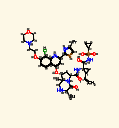 C=C[C@@H]1C[C@]1(NC(=O)[C@@H]1C[C@@H](Oc2cc(-c3nc(C(C)C)cs3)nc3c(Cl)c(OCCN4CCOCC4)ccc23)[C@H]2CN[C@H](C(C)(C)C)C(=O)N21)C(=O)NS(=O)(=O)C1CC1